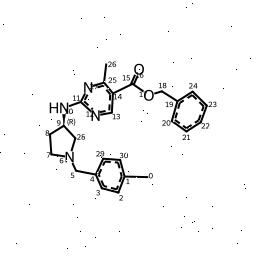 Cc1ccc(CN2CC[C@@H](Nc3ncc(C(=O)OCc4ccccc4)c(C)n3)C2)cc1